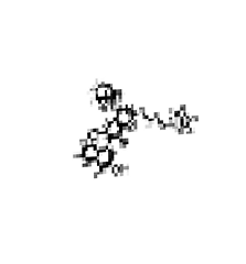 Cc1c(O)cc(-c2c(Cl)cc3c(N4CC5CCC(C4)N5)nc(CCCCN4C5CCCC4C5)nc3c2F)c2ccccc12